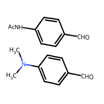 CC(=O)Nc1ccc(C=O)cc1.CN(C)c1ccc(C=O)cc1